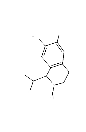 CC(C)C1c2cc(O)c(O)cc2CCN1C